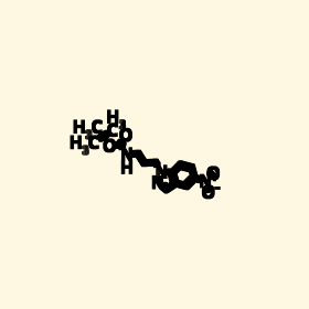 CC(C)(C)OC(=O)NCCCn1ncc2cc([N+](=O)[O-])ccc21